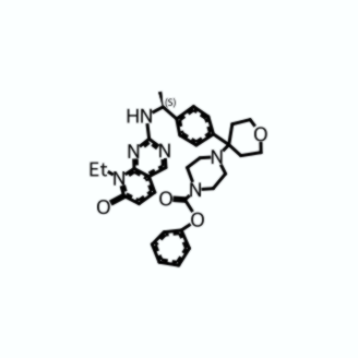 CCn1c(=O)ccc2cnc(N[C@@H](C)c3ccc(C4(N5CCN(C(=O)Oc6ccccc6)CC5)CCOCC4)cc3)nc21